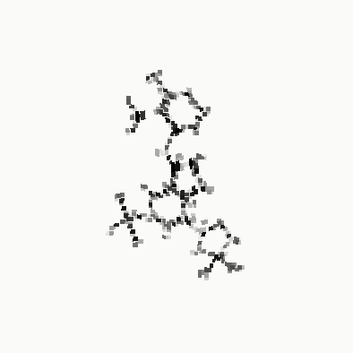 CN(C)c1c(Cl)cncc1Cn1nnc2c(N3CCC(F)(F)C3)nc(C(C)(C)C)nc21